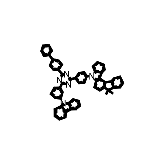 CC1(C)c2ccccc2-c2c1ccc1c2c2ccccc2n1-c1ccc(-c2nc(-c3ccc(-c4ccccc4)cc3)nc(-c3cccc(-n4c5ccccc5c5ccccc54)c3)n2)cc1